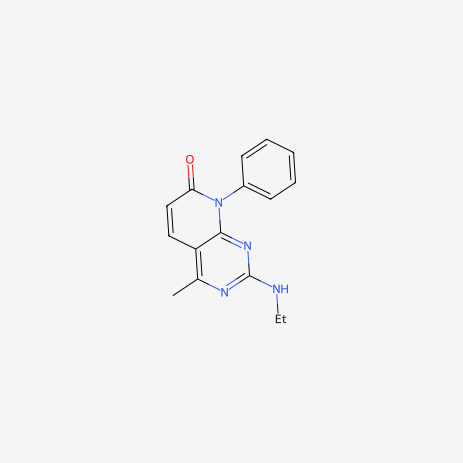 CCNc1nc(C)c2ccc(=O)n(-c3ccccc3)c2n1